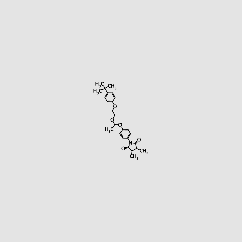 CC(OCCOc1ccc(C(C)(C)C)cc1)Oc1ccc(N2C(=O)C(C)C(C)C2=O)cc1